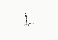 CCCC(C)C(=O)C#CC(C)(C)N1CCC1